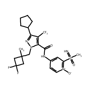 CC1(Cn2nc(C3CCCC3)c(C(F)(F)F)c2C(=O)Nc2cc[n+]([O-])c(S(C)(=N)=O)c2)CC(F)(F)C1